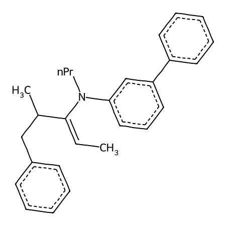 C/C=C(/C(C)Cc1ccccc1)N(CCC)c1cccc(-c2ccccc2)c1